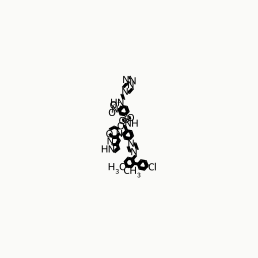 CC1(C)CCC(CN2CCN(c3ccc(C(=O)NS(=O)(=O)c4ccc(NCCN5CCn6ncnc6C5)c([N+](=O)[O-])c4)c(N4CCCOc5nc6[nH]ccc6cc54)c3)CC2)=C(c2ccc(Cl)cc2)C1